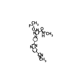 CCNC(=O)c1cc(N2CCC(c3cnc4ccc(-c5cnn(C)c5)cc4n3)CC2)nc(OCC(C)F)n1